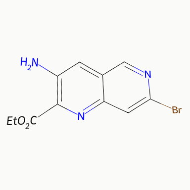 CCOC(=O)c1nc2cc(Br)ncc2cc1N